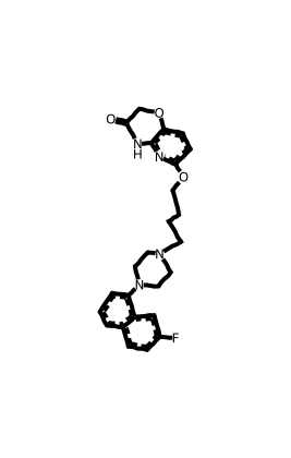 O=C1COc2ccc(OCCCCN3CCN(c4cccc5ccc(F)cc45)CC3)nc2N1